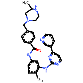 Cc1ccc(NC(=O)c2ccc(CN3CCNC(C)C3)cc2)cc1Nc1nccc(-c2cccnc2)n1